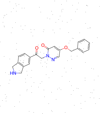 O=C(Cn1ncc(OCc2ccccc2)cc1=O)c1ccc2c(c1)CNC2